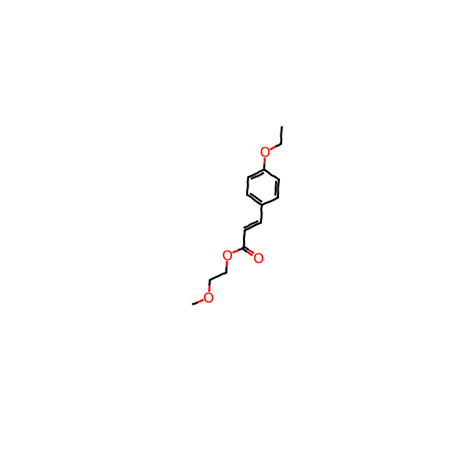 CCOc1ccc(C=CC(=O)OCCOC)cc1